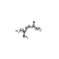 C=NCc1ccc(N(c2ccc(C(C)C)cc2)c2ccc3cc4c(cc3c2)oc2cc3oc5cc6cc(N(c7ccc(C#N)cc7)c7ccc(C(C)C)cc7)ccc6cc5c3cc24)cc1